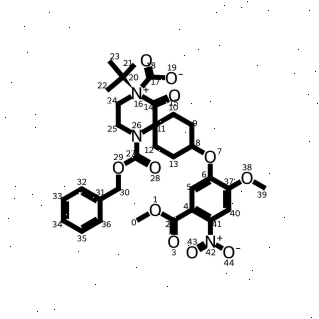 COC(=O)c1cc(OC2CCC3(CC2)C(=O)[N@+](C(=O)[O-])(C(C)(C)C)CCN3C(=O)OCc2ccccc2)c(OC)cc1[N+](=O)[O-]